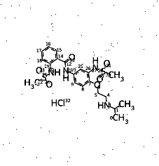 CC(C)NCCOc1ccc(NC(=O)c2ccccc2NS(C)(=O)=O)cc1NS(C)(=O)=O.Cl